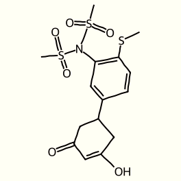 CSc1ccc(C2CC(=O)C=C(O)C2)cc1N(S(C)(=O)=O)S(C)(=O)=O